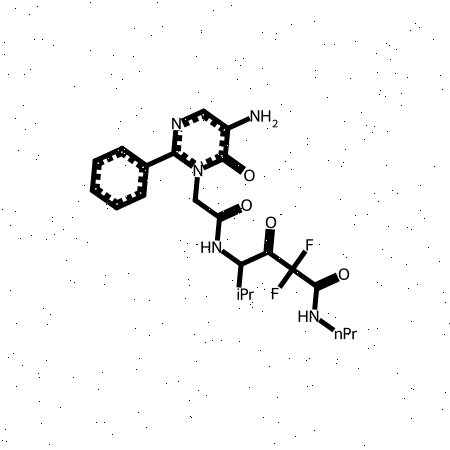 CCCNC(=O)C(F)(F)C(=O)C(NC(=O)Cn1c(-c2ccccc2)ncc(N)c1=O)C(C)C